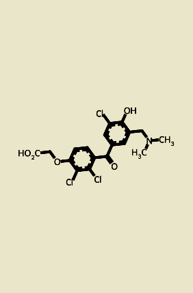 CN(C)Cc1cc(C(=O)c2ccc(OCC(=O)O)c(Cl)c2Cl)cc(Cl)c1O